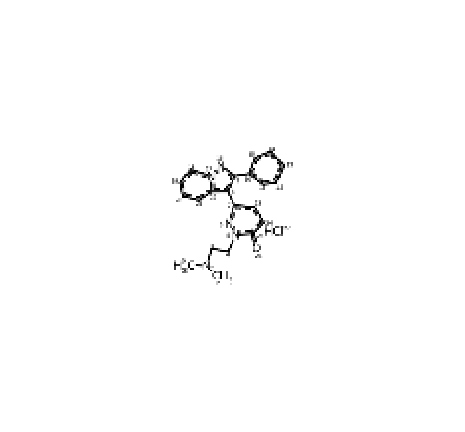 CN(C)CCn1nc(-c2c(-c3ccccc3)nn3ccccc23)ccc1=O.Cl